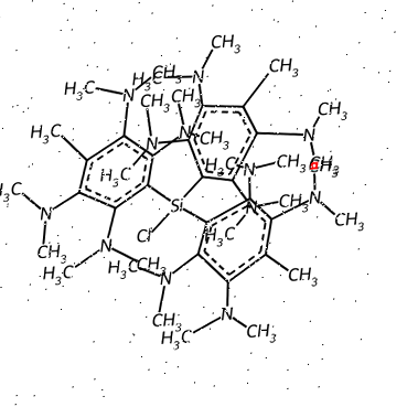 Cc1c(N(C)C)c(N(C)C)c([Si](Cl)(c2c(N(C)C)c(N(C)C)c(C)c(N(C)C)c2N(C)C)c2c(N(C)C)c(N(C)C)c(C)c(N(C)C)c2N(C)C)c(N(C)C)c1N(C)C